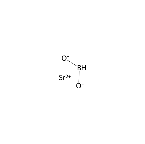 [O-]B[O-].[Sr+2]